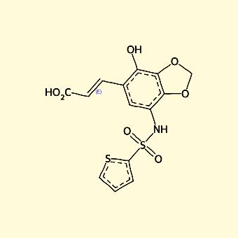 O=C(O)/C=C/c1cc(NS(=O)(=O)c2cccs2)c2c(c1O)OCO2